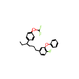 CCC(CCCc1ccc(F)c(Oc2ccccc2)c1)c1ccc(OC(F)F)cc1